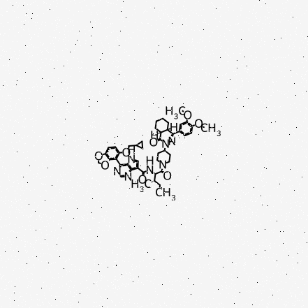 CC[C@H](C)[C@H](NC(=O)c1c[nH]c2c(-c3c(OCC4CC4)ccc4c3OCO4)ncnc12)C(=O)N1CCC(N2N=C(c3ccc(OC)c(OC)c3)[C@H]3CCCC[C@H]3C2=O)CC1